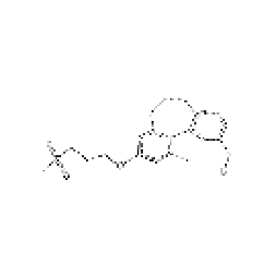 Cc1cc(OCCCS(C)(=O)=O)cc2c1-c1cc(CBr)ccc1CCC2